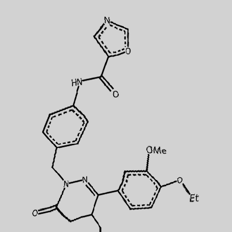 CCOc1ccc(C2=NN(Cc3ccc(NC(=O)c4cnco4)cc3)C(=O)CC2CC)cc1OC